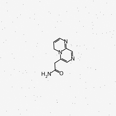 NC(=O)CC1=CN=CC2=NC=CCN12